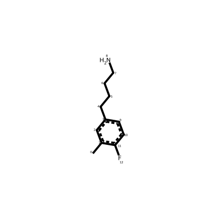 Cc1cc(CCCCN)ccc1F